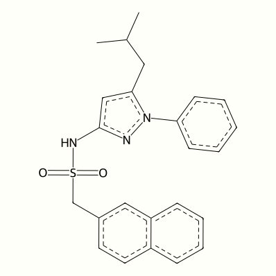 CC(C)Cc1cc(NS(=O)(=O)Cc2ccc3ccccc3c2)nn1-c1ccccc1